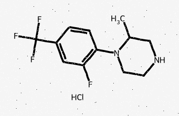 CC1CNCCN1c1ccc(C(F)(F)F)cc1F.Cl